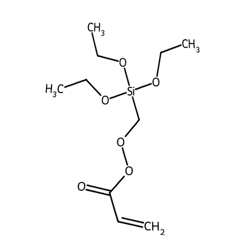 C=CC(=O)OOC[Si](OCC)(OCC)OCC